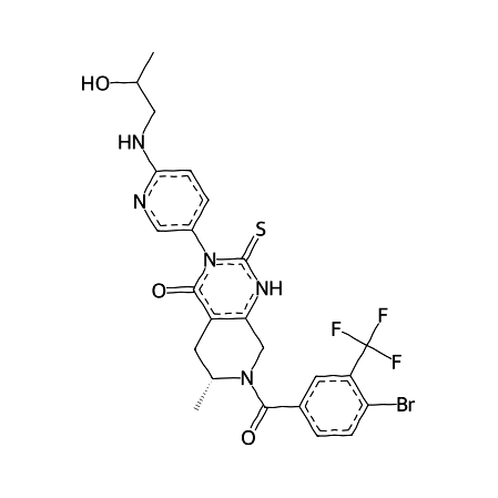 CC(O)CNc1ccc(-n2c(=S)[nH]c3c(c2=O)C[C@@H](C)N(C(=O)c2ccc(Br)c(C(F)(F)F)c2)C3)cn1